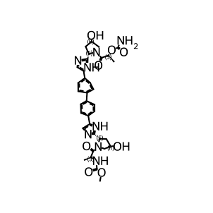 COC(=O)N[C@@H](C)C(=O)N1C[C@H](O)C[C@H]1c1ncc(-c2ccc(-c3ccc(-c4cnc([C@@H]5C[C@@H](O)CN5C(=O)[C@H](C)OC(N)=O)[nH]4)cc3)cc2)[nH]1